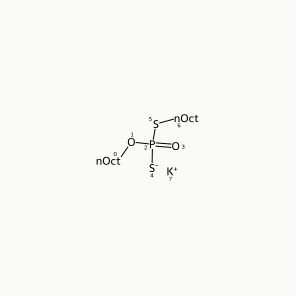 CCCCCCCCOP(=O)([S-])SCCCCCCCC.[K+]